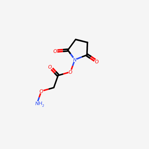 NOCC(=O)ON1C(=O)CCC1=O